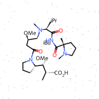 CC[C@H](C)[C@@H]([C@@H](CC(=O)N1CCC[C@H]1[C@H](OC)[C@@H](C)C(=O)O)OC)N(C)[C@H](C(=O)NC(=O)[C@]1(C)CCCN1C)C(C)C